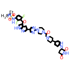 CCN(C)S(=O)(=O)Nc1ccc(F)c(C(=O)c2c[nH]c3ncc(-c4cnc(N5CCCN(C(=O)CN6CCC(c7ccc(NC8CCC(=O)NC8=O)cc7)CC6)CC5)nc4)cc23)c1F